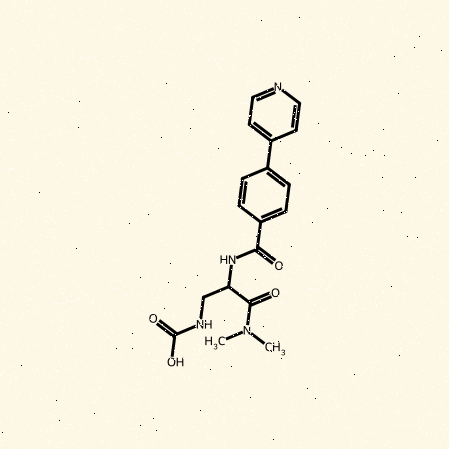 CN(C)C(=O)C(CNC(=O)O)NC(=O)c1ccc(-c2ccncc2)cc1